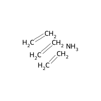 C=C.C=C.C=C.N